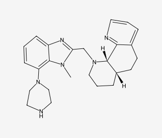 Cn1c(CN2CCC[C@H]3CCc4cccnc4[C@H]32)nc2cccc(N3CCNCC3)c21